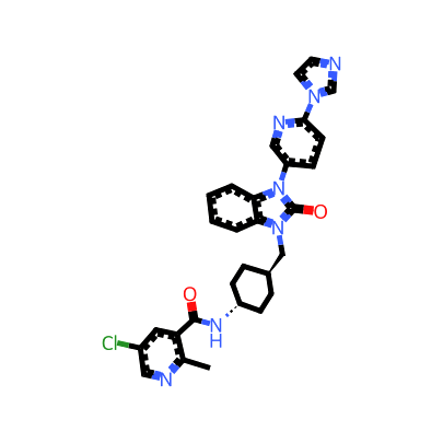 Cc1ncc(Cl)cc1C(=O)N[C@H]1CC[C@H](Cn2c(=O)n(-c3ccc(-n4ccnc4)nc3)c3ccccc32)CC1